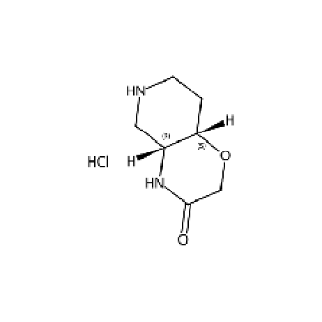 Cl.O=C1CO[C@H]2CCNC[C@H]2N1